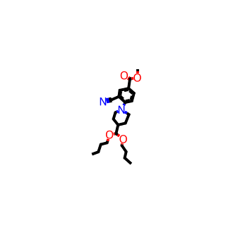 CCCCOC(OCCCC)C1CCN(c2ccc(C(=O)OC)cc2C#N)CC1